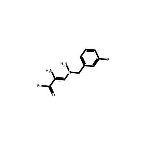 CCC(C)C(=O)/C(N)=C/N(N)Cc1cccc(F)c1